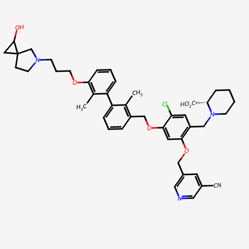 Cc1c(COc2cc(OCc3cncc(C#N)c3)c(CN3CCCC[C@H]3C(=O)O)cc2Cl)cccc1-c1cccc(OCCCN2CCC3(CC3O)C2)c1C